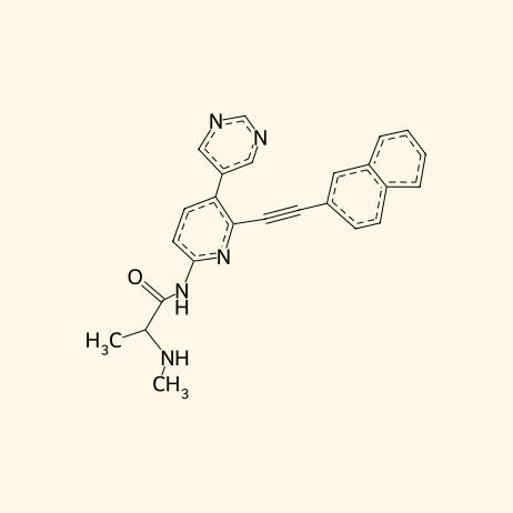 CNC(C)C(=O)Nc1ccc(-c2cncnc2)c(C#Cc2ccc3ccccc3c2)n1